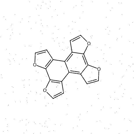 c1cc2c(o1)c1occc1c1c3ccoc3c3occc3c21